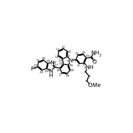 COCCCNc1cc(-n2c3ccccc3c3c(-c4nc5ccc(F)cc5[nH]4)cccc32)ccc1C(N)=O